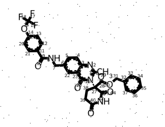 Cc1nc2ccc(CNC(=O)c3ccc(OC(F)(F)F)cc3)cc2c(=O)n1[C@@]1(C(=O)OCc2ccccc2)CCC(=O)NC1=O